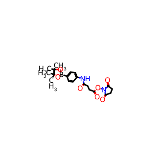 CC1(C)OB(c2ccc(NC(=O)CCC(=O)ON3C(=O)CCC3=O)cc2)OC1(C)C